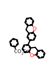 CCOC(=O)c1ccccc1.c1ccc2c(c1)Cc1cc(-c3cccc4c3Cc3ccccc3O4)ccc1O2